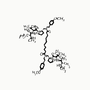 CN[C@@H](C)C(=O)N[C@H](C(=O)N1CCC[C@H]1CN(CCc1ccc(OC)cc1)C(=O)CCCCCCCCC(=O)N(CCc1ccc(OC)cc1)C[C@@H]1CCCN1C(=O)[C@@H](NC(=O)[C@H](C)NC)C(C)(C)C)C(C)(C)C